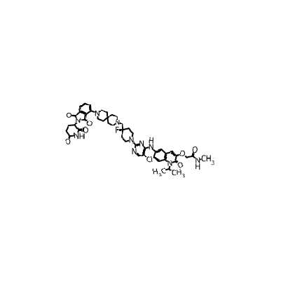 CNC(=O)COc1cc2cc(Nc3nc(N4CCC(F)(CN5CCC6(CC5)CCN(c5cccc7c5C(=O)N(C5CCC(=O)NC5=O)C7=O)CC6)CC4)ncc3Cl)ccc2n(C(C)C)c1=O